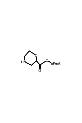 CCCCCOC(=O)C1CNCCO1